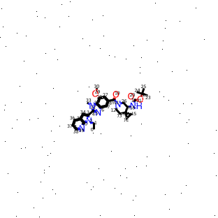 CCn1c(-c2nc3cc(C(=O)N4CCC5(CC5)C(NC(=O)OC(C)(C)C)C4)cc(OC)c3n2C)cc2cccnc21